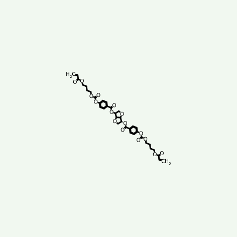 C=CC(=O)OCCCCOC(=O)Oc1ccc(C(=O)OC2COC3C2OC[C@H]3OC(=O)c2ccc(OC(=O)OCCCCOC(=O)C=C)cc2)cc1